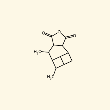 CC1C2CC3C4C(=O)OC(=O)C4C(C)C1C23